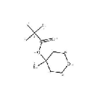 CCC1(OC(=O)C(C)(C)CC)CCOCC1